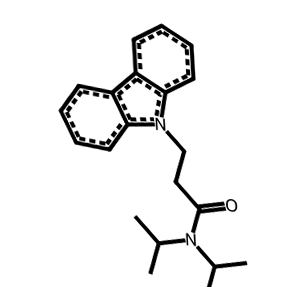 CC(C)N(C(=O)CCn1c2ccccc2c2ccccc21)C(C)C